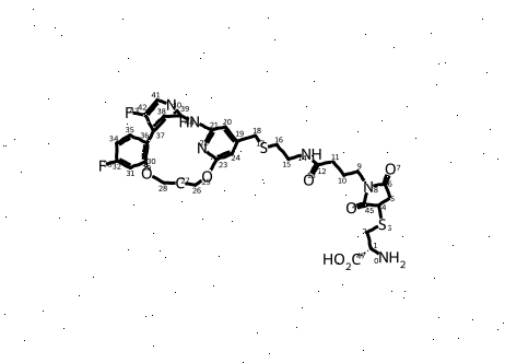 N[C@@H](CSC1CC(=O)N(CCCC(=O)NCCSCc2cc3nc(c2)OCCCOc2cc(F)ccc2-c2cc(ncc2F)N3)C1=O)C(=O)O